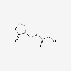 O=C(CCl)OCN1CCCC1=O